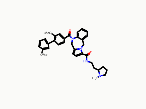 COc1cccc(-c2ccc(C(=O)N3Cc4ccc(C(=O)NCCC5CCCN5C)n4Cc4ccccc43)cc2OC)c1